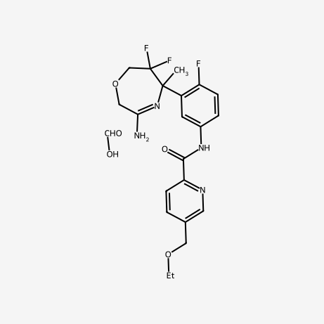 CCOCc1ccc(C(=O)Nc2ccc(F)c(C3(C)N=C(N)COCC3(F)F)c2)nc1.O=CO